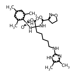 Cc1cc(C)c(S(=O)(=O)NC(CCCCCNc2nc(C)c(C)[nH]2)(NC(=O)C2=NOCC2)C(=O)O)c(C)c1